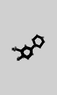 Cc1nc(N2CCOCC2)ccc1Br